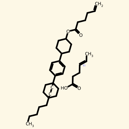 C/C=C/CCC(=O)O.C=CCCCC(=O)OC1CCC(c2ccc(C34CCC(CCCCC)(CC3)CC4)cc2)CC1